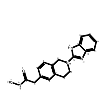 O=C(Cc1ccc2c(c1)CCN(c1nc3ccccc3[nH]1)C2)NO